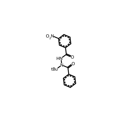 CC(C)(C)N(NC(=O)c1cccc([N+](=O)[O-])c1)C(=O)c1ccccc1